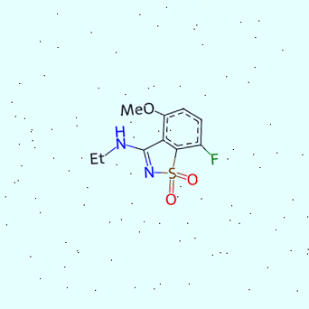 CCNC1=NS(=O)(=O)c2c(F)ccc(OC)c21